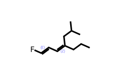 CCC/C(=C/C=C/F)CC(C)C